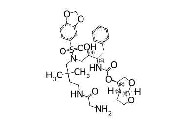 CC(C)(CCNC(=O)CN)CN(C[C@@H](O)[C@H](Cc1ccccc1)NC(=O)O[C@H]1CO[C@H]2OCC[C@H]21)S(=O)(=O)c1ccc2c(c1)OCO2